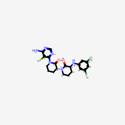 Nc1ncnc(N2CCC[C@@H](N3CCCC(Nc4cc(F)cc(Cl)c4)C3=O)C2=O)c1F